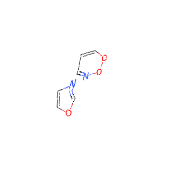 C1=COON=C1.c1cocn1